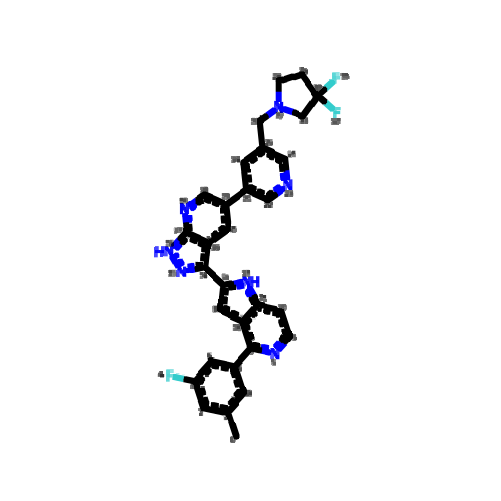 Cc1cc(F)cc(-c2nccc3[nH]c(-c4n[nH]c5ncc(-c6cncc(CN7CCC(F)(F)C7)c6)cc45)cc23)c1